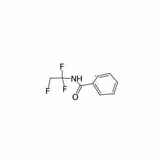 O=C(NC(F)(F)CF)c1[c]cccc1